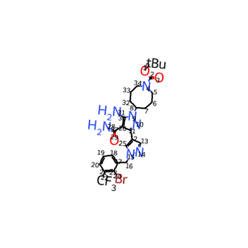 CC(C)(C)OC(=O)N1CCCC(n2nc(-c3cnn(Cc4cccc(C(F)(F)F)c4Br)c3)c(C(N)=O)c2N)CCC1